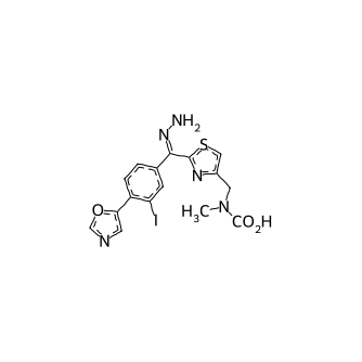 CN(Cc1csc(/C(=N\N)c2ccc(-c3cnco3)c(I)c2)n1)C(=O)O